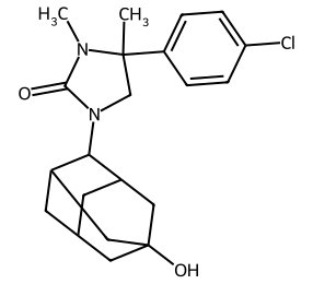 CN1C(=O)N(C2C3CC4CC2CC(O)(C4)C3)CC1(C)c1ccc(Cl)cc1